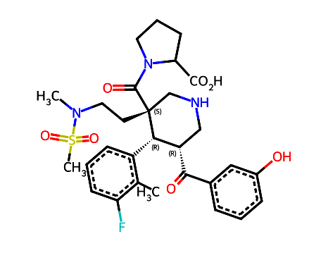 Cc1c(F)cccc1[C@H]1[C@@H](C(=O)c2cccc(O)c2)CNC[C@@]1(CCN(C)S(C)(=O)=O)C(=O)N1CCCC1C(=O)O